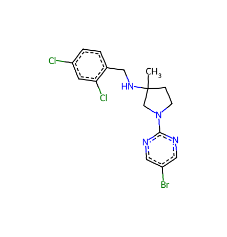 CC1(NCc2ccc(Cl)cc2Cl)CCN(c2ncc(Br)cn2)C1